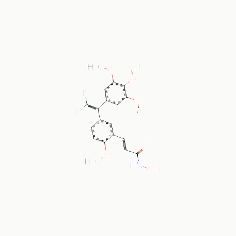 COc1ccc(C(=C(F)F)c2cc(OC)c(OC)c(OC)c2)cc1/C=C/C(=O)NO